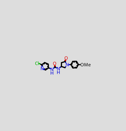 COc1ccc(N2CC(NC(=O)Nc3ccc(Cl)nc3)CC2=O)cc1